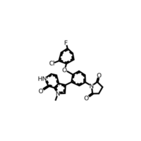 Cn1cc(-c2cc(N3C(=O)CCC3=O)ccc2Oc2ccc(F)cc2Cl)c2cc[nH]c(=O)c21